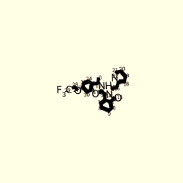 CC(NC(=O)C1c2ccccc2C(=O)N1CCc1ccccn1)c1ccc(OCC(F)(F)F)cc1